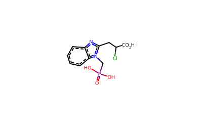 O=C(O)C(Cl)Cc1nc2ccccc2n1CP(=O)(O)O